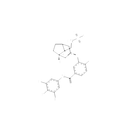 CS(=O)(=O)NC[C@@]1(O)C2CC[C@H]1C[C@H](Sc1cc(C(=O)Nc3cc(F)c(F)c(F)c3)ccc1Cl)C2